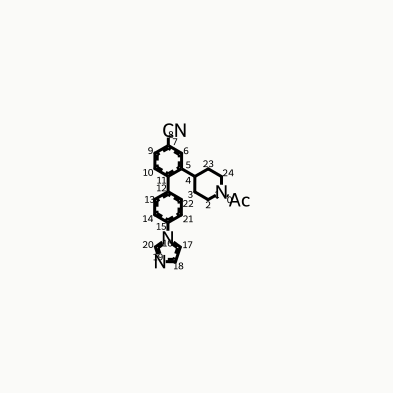 CC(=O)N1CCC(c2cc(C#N)ccc2-c2ccc(-n3ccnc3)cc2)CC1